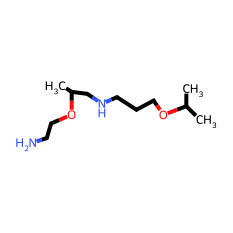 CC(C)OCCCNCC(C)OCCN